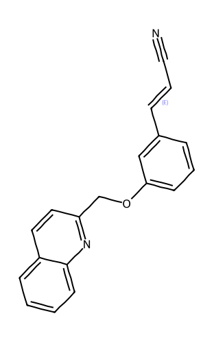 N#C/C=C/c1cccc(OCc2ccc3ccccc3n2)c1